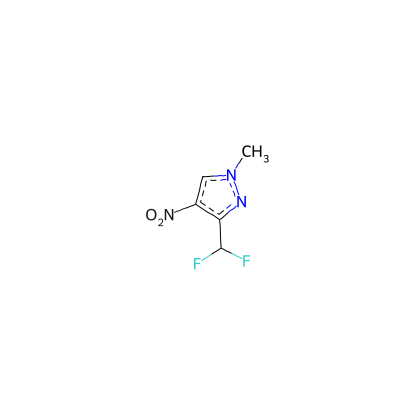 Cn1cc([N+](=O)[O-])c(C(F)F)n1